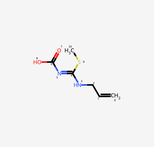 C=CCNC(=NC(=O)O)SC